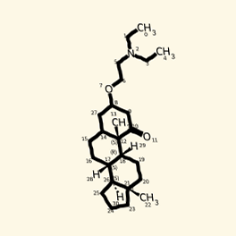 CCN(CC)CCOC1CC(=O)[C@@]2(C)C(CC[C@@H]3[C@H]2CC[C@]2(C)CCC[C@@H]32)C1